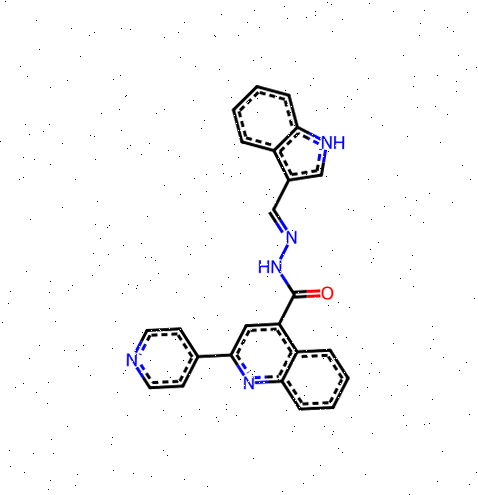 O=C(N/N=C/c1c[nH]c2ccccc12)c1cc(-c2ccncc2)nc2ccccc12